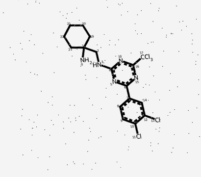 NC1(CNc2nc(-c3ccc(Cl)c(Cl)c3)nc(C(Cl)(Cl)Cl)n2)CCCCC1